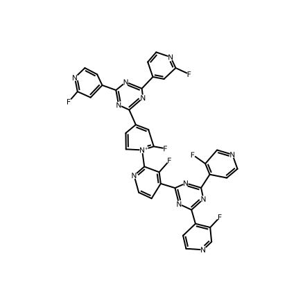 Fc1cc(-c2nc(-c3ccnc(F)c3)nc(-c3cc[n+](-c4nccc(-c5nc(-c6ccncc6F)nc(-c6ccncc6F)n5)c4F)c(F)c3)n2)ccn1